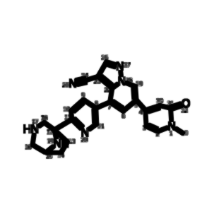 Cn1ccc(-c2cc(-c3ccc(C45CCC(CNC4)N5)nc3)c3c(C#N)cnn3c2)cc1=O